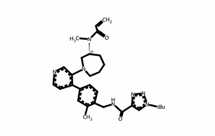 C=CC(=O)N(C)[C@@H]1CCCCN(c2cnccc2-c2ccc(CNC(=O)c3cn(C(C)(C)C)nn3)c(C)c2)C1